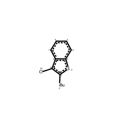 CCC(C)c1sc2ccccc2c1Cl